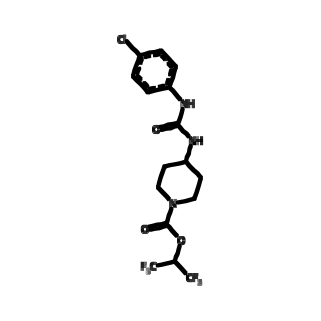 O=C(Nc1ccc(Cl)cc1)NC1CCN(C(=O)OC(C(F)(F)F)C(F)(F)F)CC1